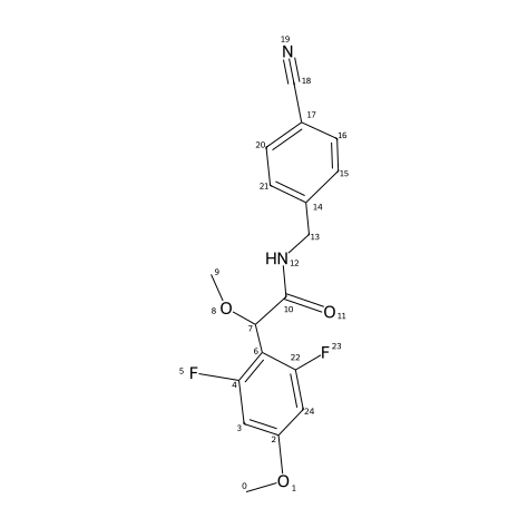 COc1cc(F)c(C(OC)C(=O)NCc2ccc(C#N)cc2)c(F)c1